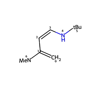 C=C(/C=C\NC(C)(C)C)NC